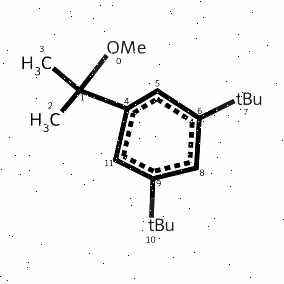 COC(C)(C)c1cc(C(C)(C)C)cc(C(C)(C)C)c1